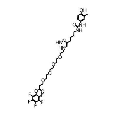 Cc1cc(NC(=O)NCCCC/C(=C/NCCOCCOCCOCCOCCC(=O)Oc2c(F)c(F)c(F)c(F)c2F)N=N)ccc1O